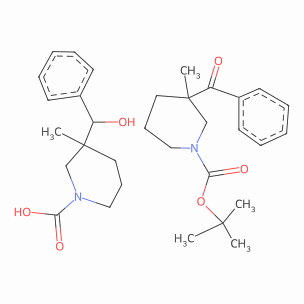 CC(C)(C)OC(=O)N1CCCC(C)(C(=O)c2ccccc2)C1.CC1(C(O)c2ccccc2)CCCN(C(=O)O)C1